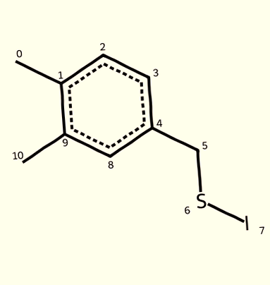 Cc1ccc(CSI)cc1C